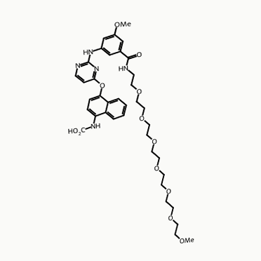 COCCOCCOCCOCCOCCOCCOCCNC(=O)c1cc(Nc2nccc(Oc3ccc(NC(=O)O)c4ccccc34)n2)cc(OC)c1